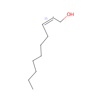 CCCCCCC/C=[C]\CO